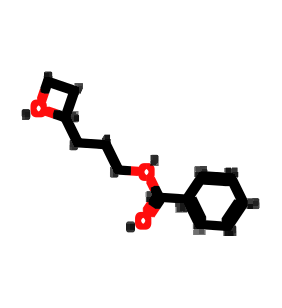 O=C(OCCCC1CCO1)c1ccccc1